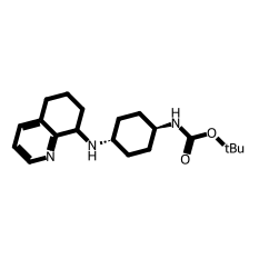 CC(C)(C)OC(=O)N[C@H]1CC[C@H](NC2CCCc3cccnc32)CC1